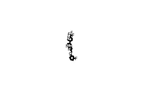 Fc1cccc(OCc2cn3cc(-c4ccc(C(F)(F)F)nc4)cnc3n2)c1